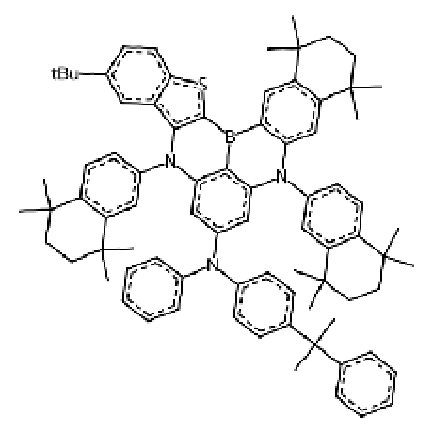 CC(C)(C)c1ccc2sc3c(c2c1)N(c1ccc2c(c1)C(C)(C)CCC2(C)C)c1cc(N(c2ccccc2)c2ccc(C(C)(C)c4ccccc4)cc2)cc2c1B3c1cc3c(cc1N2c1ccc2c(c1)C(C)(C)CCC2(C)C)C(C)(C)CCC3(C)C